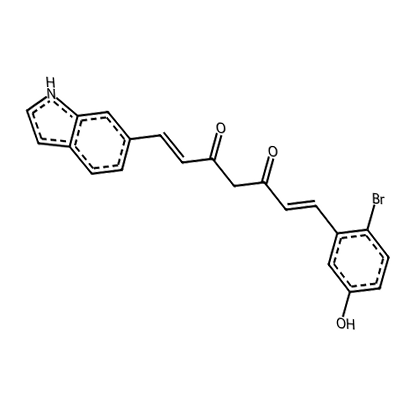 O=C(C=Cc1ccc2cc[nH]c2c1)CC(=O)C=Cc1cc(O)ccc1Br